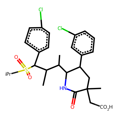 CC(C(C)C(c1ccc(Cl)cc1)S(=O)(=O)C(C)C)C1NC(=O)C(C)(CC(=O)O)CC1c1cccc(Cl)c1